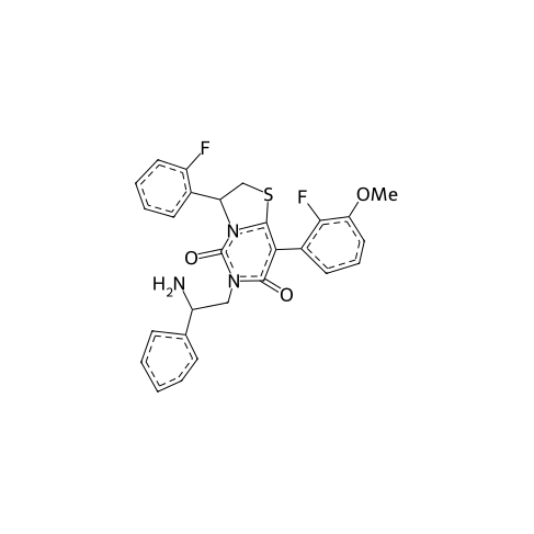 COc1cccc(-c2c3n(c(=O)n(CC(N)c4ccccc4)c2=O)C(c2ccccc2F)CS3)c1F